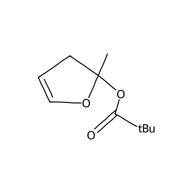 CC1(OC(=O)C(C)(C)C)CC=CO1